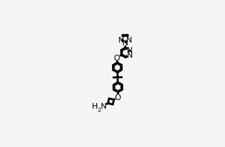 CC(C)(c1ccc(Oc2cnnc(-n3nccn3)c2)cc1)c1ccc(OC2CC(N)C2)cc1